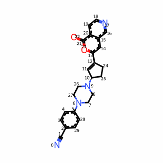 N#Cc1ccc(N2CCN([C@H]3C=C(c4cc5cnccc5c(=O)o4)CC3)CC2)cc1